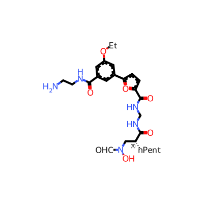 CCCCC[C@H](CN(O)C=O)C(=O)NCNC(=O)c1ccc(-c2cc(OCC)cc(C(=O)NCCN)c2)o1